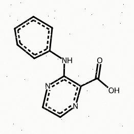 O=C(O)c1nccnc1Nc1ccccc1